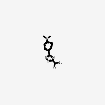 CCC(CC)c1nc(-c2ccc(N(C)C)cc2)no1